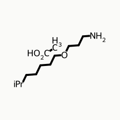 CC(=O)O.CC(C)CCCCCOCCCN